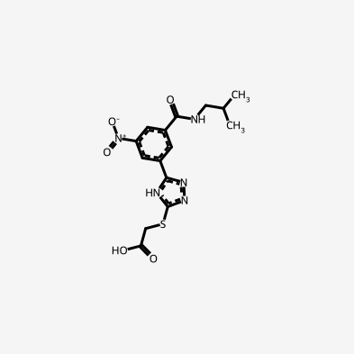 CC(C)CNC(=O)c1cc(-c2nnc(SCC(=O)O)[nH]2)cc([N+](=O)[O-])c1